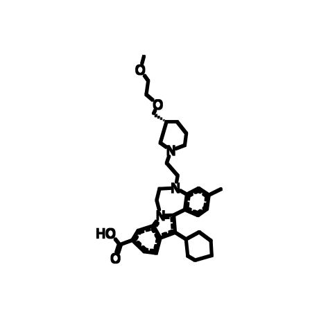 COCCOC[C@@H]1CCCN(CCN2CCn3c(c(C4CCCCC4)c4ccc(C(=O)O)cc43)-c3ccc(C)cc32)C1